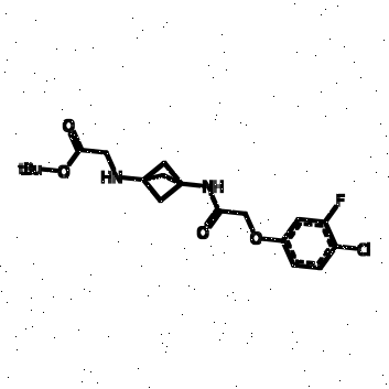 CC(C)(C)OC(=O)CNC12CC(NC(=O)COc3ccc(Cl)c(F)c3)(C1)C2